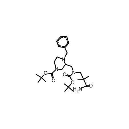 CC(C)(C)OC(=O)N1CCN(Cc2ccccc2)C(CN(CC(C)(C)C(N)=O)C(=O)OC(C)(C)C)C1